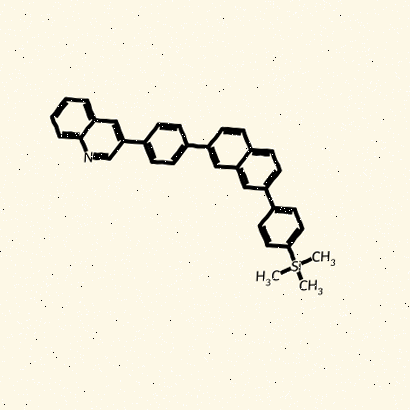 C[Si](C)(C)c1ccc(-c2ccc3ccc(-c4ccc(-c5cnc6ccccc6c5)cc4)cc3c2)cc1